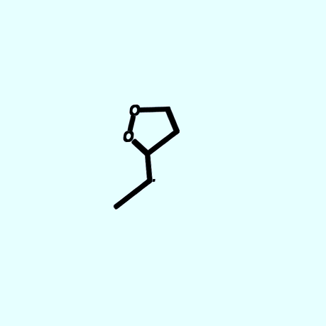 C[CH]C1CCOO1